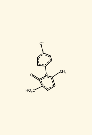 Cc1ccc(C(=O)O)c(=O)n1-c1cc[n+]([O-])cc1